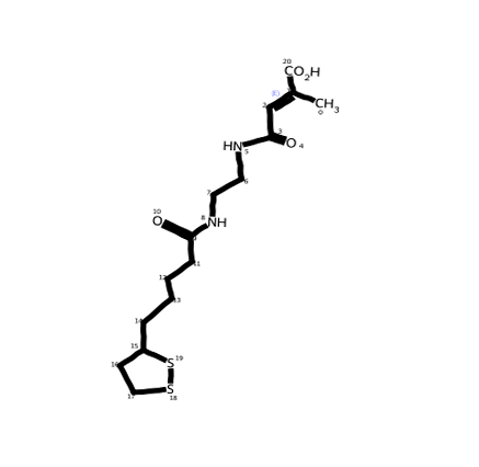 C/C(=C\C(=O)NCCNC(=O)CCCCC1CCSS1)C(=O)O